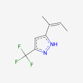 C/C=C(/C)c1cc(C(F)(F)F)n[nH]1